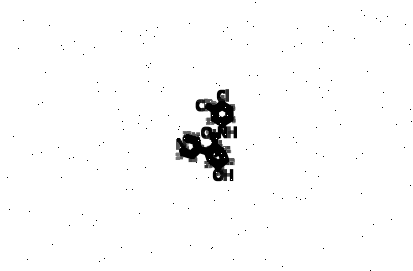 O=C(Nc1ccc(Cl)c(Cl)c1)c1c(-c2ccncc2)c2oc1cc2O